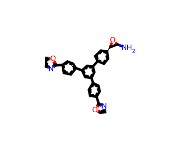 NC1O[C@H]1c1ccc(-c2cc(-c3ccc(-c4ncco4)cc3)cc(-c3ccc(-c4ncco4)cc3)c2)cc1